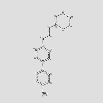 Nc1ccc(-c2cnc(OCCN3CCOCC3)nc2)cc1